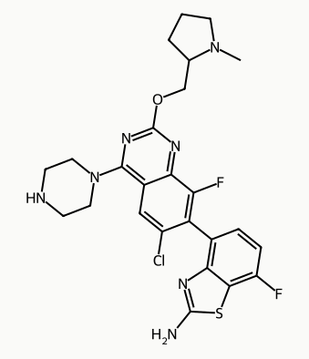 CN1CCCC1COc1nc(N2CCNCC2)c2cc(Cl)c(-c3ccc(F)c4sc(N)nc34)c(F)c2n1